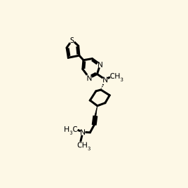 CN(C)CC#C[C@H]1CC[C@H](N(C)c2ncc(-c3ccsc3)cn2)CC1